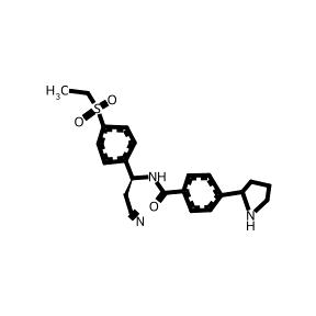 CCS(=O)(=O)c1ccc([C@H](CC#N)NC(=O)c2ccc(C3CCCN3)cc2)cc1